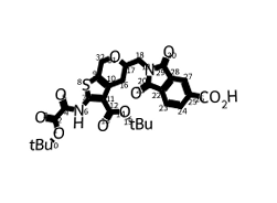 CC(C)(C)OC(=O)C(=O)Nc1sc2c(c1C(=O)OC(C)(C)C)CC(CN1C(=O)c3ccc(C(=O)O)cc3C1=O)OC2